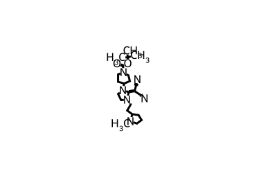 CN1CCCC1CCN1CCN(C2CCN(C(=O)OC(C)(C)C)CC2)C1=C(C#N)C#N